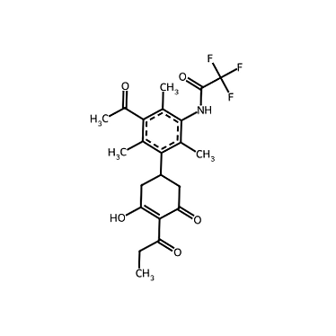 CCC(=O)C1=C(O)CC(c2c(C)c(NC(=O)C(F)(F)F)c(C)c(C(C)=O)c2C)CC1=O